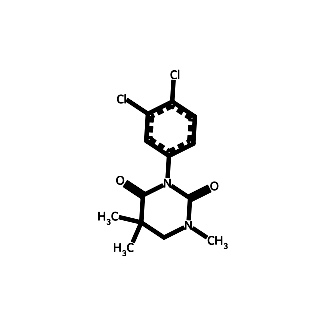 CN1CC(C)(C)C(=O)N(c2ccc(Cl)c(Cl)c2)C1=O